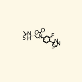 CC(=S)NC[C@H]1CN(c2ccc(-c3nncs3)c(F)c2)C(=O)O1